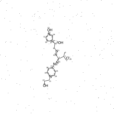 CC(C)C(N=NCC(O)[n+]1ccn(O)c1)=NN=c1ccn(CCO)cc1.[Cl-]